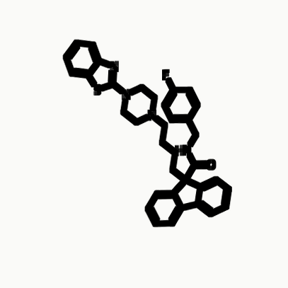 O=C(NCc1ccc(F)cc1)C1(CCCCN2CCN(c3nc4ccccc4s3)CC2)c2ccccc2-c2ccccc21